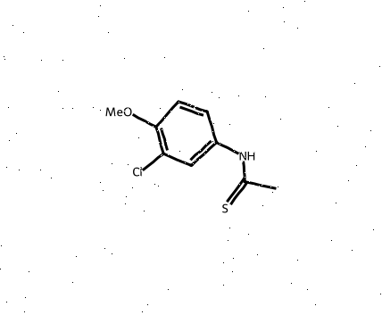 COc1ccc(NC(C)=S)cc1Cl